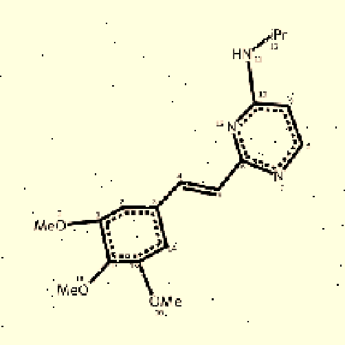 COc1cc(C=Cc2nccc(NC(C)C)n2)cc(OC)c1OC